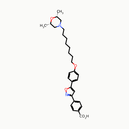 C[C@@H]1CN(CCCCCCCCOc2ccc(-c3cc(-c4ccc(C(=O)O)cc4)no3)cc2)C[C@H](C)O1